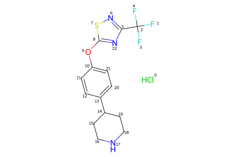 Cl.FC(F)(F)c1nsc(Oc2ccc(C3CCNCC3)cc2)n1